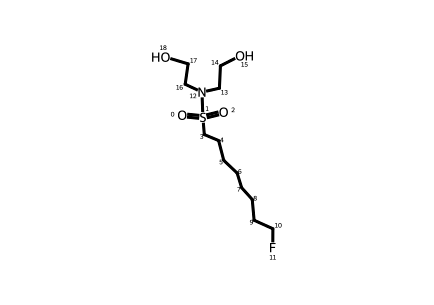 O=S(=O)(CCCCCCCCF)N(CCO)CCO